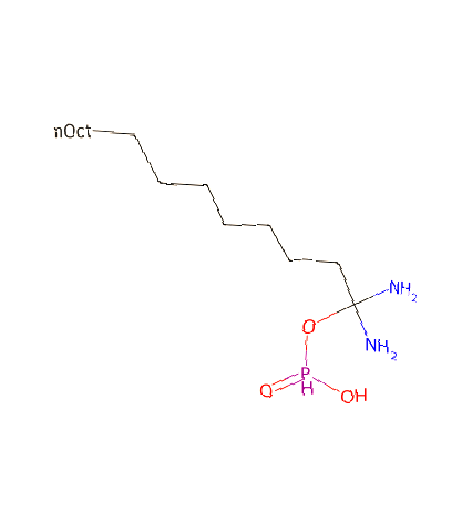 CCCCCCCCCCCCCCCC(N)(N)O[PH](=O)O